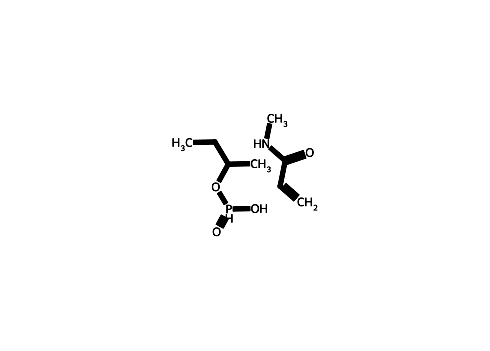 C=CC(=O)NC.CCC(C)O[PH](=O)O